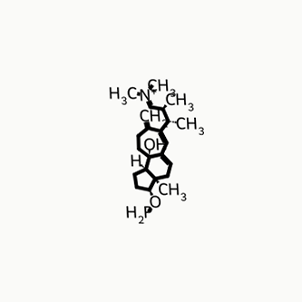 C=C1CC[C@@]2(O)C(=CC[C@]3(C)[C@@H](OP)CC[C@H]32)C=C1[C@@H](C)[C@H](C)C=[N+](C)C